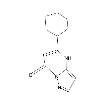 O=c1cc(C2CCCCC2)[nH]c2ccnn12